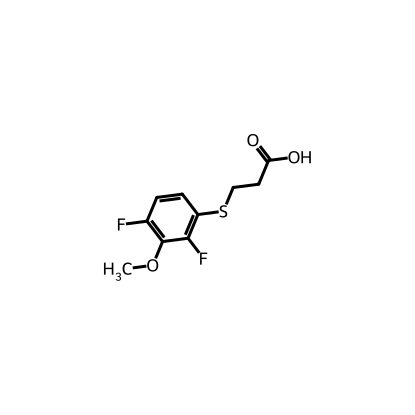 COc1c(F)ccc(SCCC(=O)O)c1F